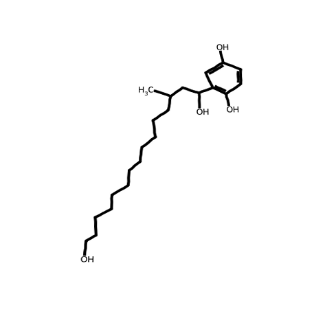 CC(CCCCCCCCCCCCO)CC(O)c1cc(O)ccc1O